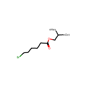 CCCCCCCCC(CCCCCC)COC(=O)CCCCCBr